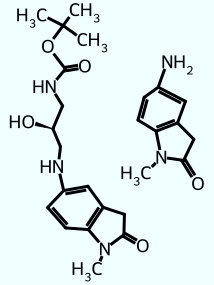 CN1C(=O)Cc2cc(N)ccc21.CN1C(=O)Cc2cc(NC[C@@H](O)CNC(=O)OC(C)(C)C)ccc21